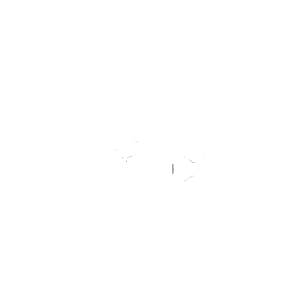 [2H]c1cc2c(cc1[2H])OC(C1=NC([2H])([2H])C([2H])N1)CO2